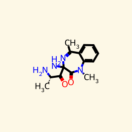 CC1=NC(N)(C(=O)[C@H](C)N)C(=O)N(C)c2ccccc21